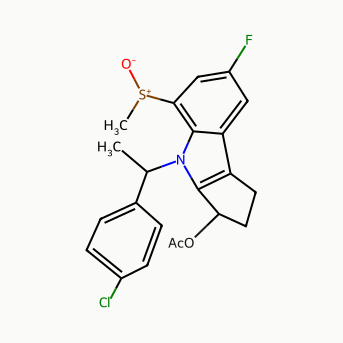 CC(=O)OC1CCc2c1n(C(C)c1ccc(Cl)cc1)c1c([S+](C)[O-])cc(F)cc21